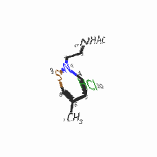 CC(=O)NCCN1C=CC(C)=CS1.Cl